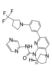 O=C(Nc1cnccn1)N1c2nc(-c3cccc(N4CCC(C(F)(F)F)C4)c3)ccc2N2CC[C@H]1C2